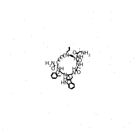 C=CCN1C#CN(NC(=O)[C@H](C)N)C(=O)N[C@@H](C)C(=O)N[C@@H](Cc2c[nH]c3ccccc23)C(=O)N[C@H](Cc2ccccc2)C(=O)N[C@H](C(N)=O)CCCC1